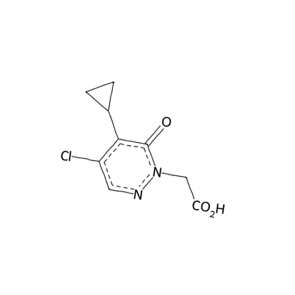 O=C(O)Cn1ncc(Cl)c(C2CC2)c1=O